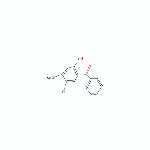 COc1cc(O)c(C(=O)c2ccccc2)cc1Cl